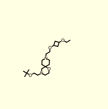 CCOC1CC(OCCN2CCC3(CC2)CN(CCOC(C)(C)C)CCO3)C1